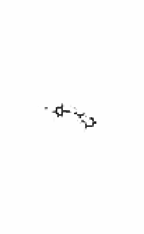 CC(=O)COc1cc(Cl)c(-c2nnc(-c3cn4cc(C(F)(F)F)cc(Cl)c4n3)s2)cc1F